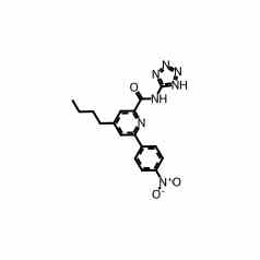 CCCCc1cc(C(=O)Nc2nnn[nH]2)nc(-c2ccc([N+](=O)[O-])cc2)c1